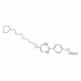 CCCCCCCCCOc1ccc(-c2ncc(OCCCCCCCC3CCCC3)cn2)cc1